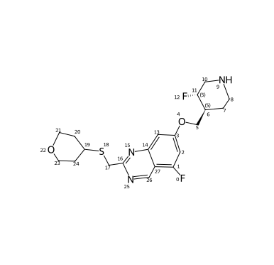 Fc1cc(OC[C@@H]2CCNC[C@H]2F)cc2nc(CSC3CCOCC3)ncc12